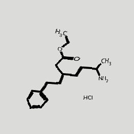 CCOC(=O)CC(CCc1ccccc1)CCC(C)N.Cl